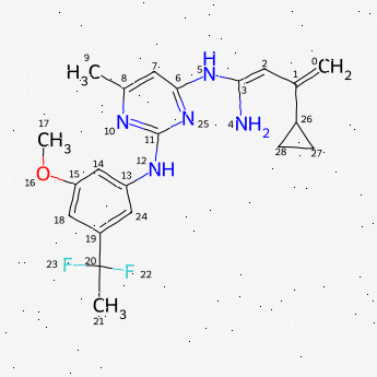 C=C(/C=C(\N)Nc1cc(C)nc(Nc2cc(OC)cc(C(C)(F)F)c2)n1)C1CC1